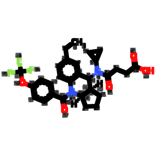 CCc1ccc2c(c1)[C@H](N(C(=O)CCC(=O)O)C1CC1)[C@H]1CCC[C@H]1N2C(=O)c1ccc(OC(F)(F)F)cc1